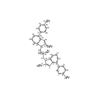 CCCC1=Cc2c(-c3ccc(C(C)C)cc3)cccc2C1C[SiH]([Zr])CC1C(CCC)=Cc2c(-c3ccc(C(C)C)cc3)cccc21